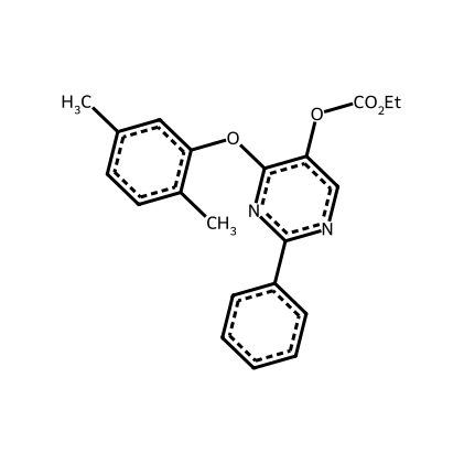 CCOC(=O)Oc1cnc(-c2ccccc2)nc1Oc1cc(C)ccc1C